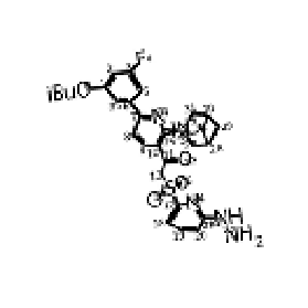 CC(C)COc1cc(F)cc(-c2ccc(C(=O)CS(=O)(=O)c3cccc(NN)n3)c(N3CC4CC(C3)C4C)n2)c1